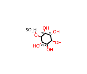 O=S(=O)(O)O[C@H]1[C@@H](O)[C@H](O)[C@@H](O)[C@@H](O)[C@@H]1O